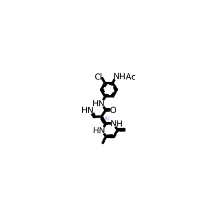 C=C1C=C(C)N/C(=C(\C=N)C(=O)Nc2ccc(NC(C)=O)c(Cl)c2)N1